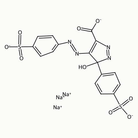 O=C([O-])C1=C(N=Nc2ccc(S(=O)(=O)[O-])cc2)C(O)(c2ccc(S(=O)(=O)[O-])cc2)N=N1.[Na+].[Na+].[Na+]